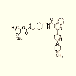 C[C@@H](COC(C)(C)C)OC(=O)NC[C@H]1CC[C@H](CNC(=O)c2cc(-c3ccc(N4CCN(C)CC4)nc3)nc3ccccc23)CC1